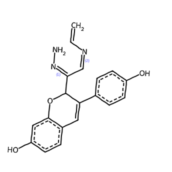 C=C/N=C\C(=N/N)C1Oc2cc(O)ccc2C=C1c1ccc(O)cc1